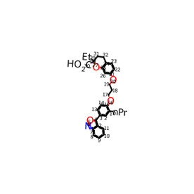 CCCc1cc(-c2onc3ccccc23)ccc1OCCCOc1ccc2c(c1)OC(CC)(C(=O)O)CC2